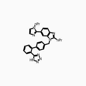 CCCc1nc2ccc(-c3nccn3CCC)cc2n1Cc1ccc(-c2ccccc2-c2nnn[nH]2)cc1